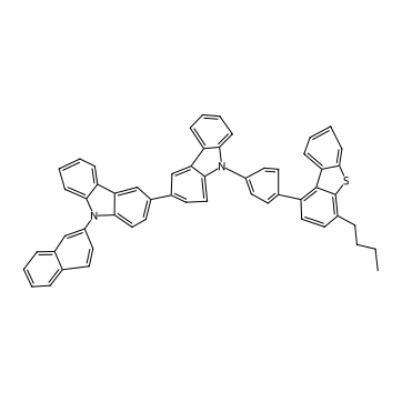 CCCCc1ccc(-c2ccc(-n3c4ccccc4c4cc(-c5ccc6c(c5)c5ccccc5n6-c5ccc6ccccc6c5)ccc43)cc2)c2c1sc1ccccc12